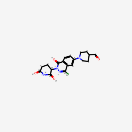 O=CC1CCN(c2ccc3c(=O)n(C4CCC(=O)NC4=O)nc(F)c3c2)CC1